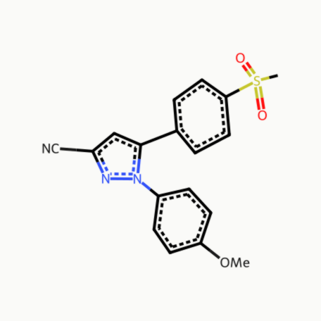 COc1ccc(-n2nc(C#N)cc2-c2ccc(S(C)(=O)=O)cc2)cc1